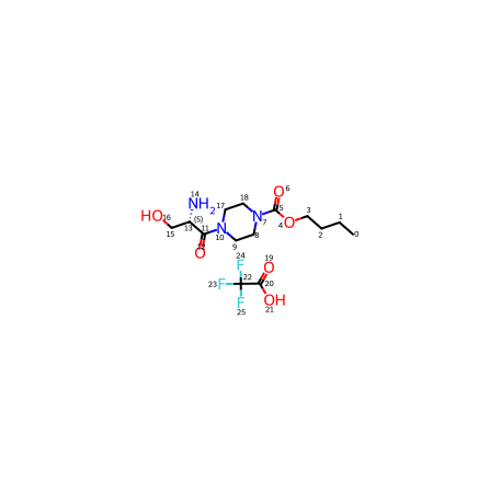 CCCCOC(=O)N1CCN(C(=O)[C@@H](N)CO)CC1.O=C(O)C(F)(F)F